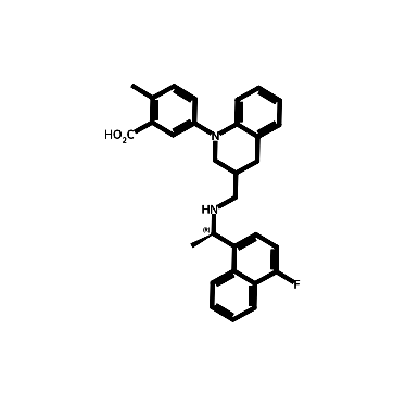 Cc1ccc(N2CC(CN[C@H](C)c3ccc(F)c4ccccc34)Cc3ccccc32)cc1C(=O)O